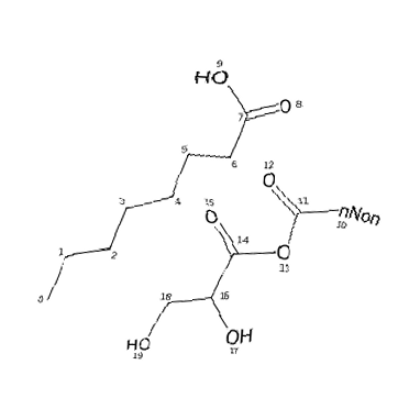 CCCCCCCC(=O)O.CCCCCCCCCC(=O)OC(=O)C(O)CO